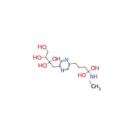 CCNC(O)(O)CCCc1cnc(CC(O)(O)C(O)CO)cn1